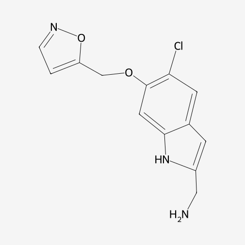 NCc1cc2cc(Cl)c(OCc3ccno3)cc2[nH]1